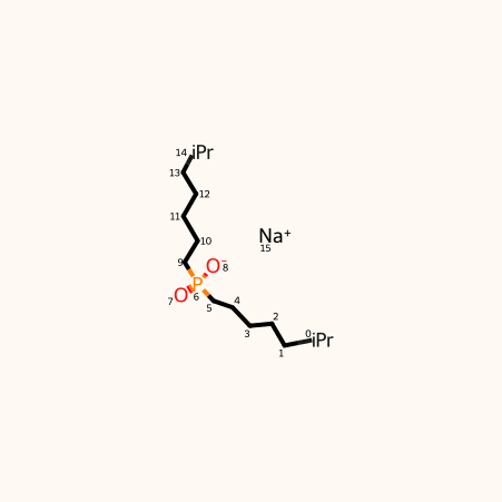 CC(C)CCCCCP(=O)([O-])CCCCCC(C)C.[Na+]